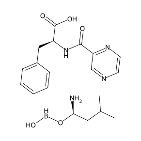 CC(C)C[C@H](N)OBO.O=C(N[C@@H](Cc1ccccc1)C(=O)O)c1cnccn1